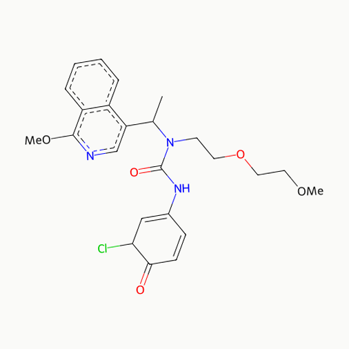 COCCOCCN(C(=O)NC1=CC(Cl)C(=O)C=C1)C(C)c1cnc(OC)c2ccccc12